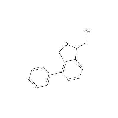 OCC1OCc2c(-c3ccncc3)cccc21